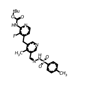 Cc1ccc(S(=O)(=O)N/N=C\c2cncc(Cc3ccnc(NC(=O)OC(C)(C)C)c3F)c2C)cc1